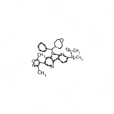 CSN(c1ccc2c3ncc(-c4c(C)noc4C)cc3n(C(c3ccccc3)C3CCOCC3)c2n1)[S+](C)[O-]